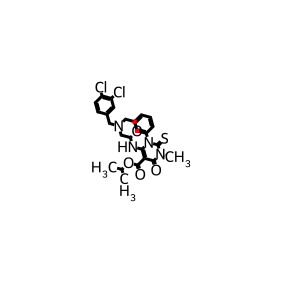 CC(C)OC(=O)c1c(NC2CN(Cc3ccc(Cl)c(Cl)c3)CCO2)n(-c2ccccc2)c(=S)n(C)c1=O